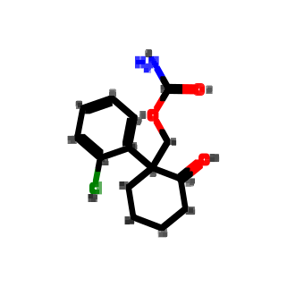 NC(=O)OCC1(c2ccccc2Cl)CCCCC1=O